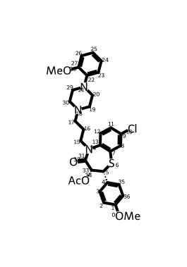 COc1ccc([C@H]2Sc3cc(Cl)ccc3N(CCCN3CCN(c4ccccc4OC)CC3)C(=O)[C@H]2OC(C)=O)cc1